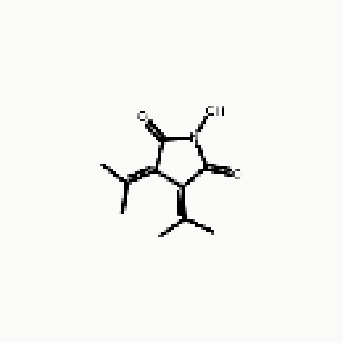 CC(C)=C1C(=O)N(O)C(=O)C1=C(C)C